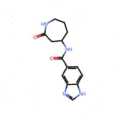 O=C1CC(NC(=O)c2ccc3[nH]cnc3c2)CCCN1